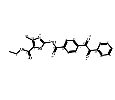 CCOC(=O)c1sc(NC(=O)c2ccc(C(=O)C(=O)c3ccccc3)cc2)nc1C